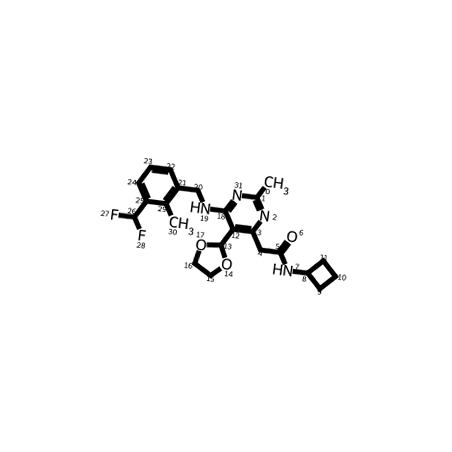 Cc1nc(CC(=O)NC2CCC2)c(C2OCCO2)c(NCc2cccc(C(F)F)c2C)n1